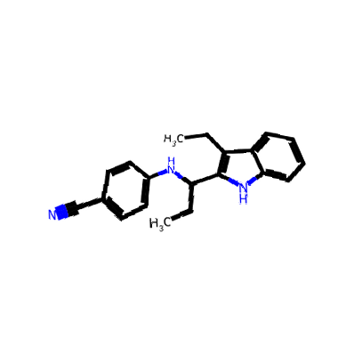 CCc1c(C(CC)Nc2ccc(C#N)cc2)[nH]c2ccccc12